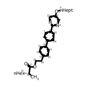 CCCCCCCOc1cnc(-c2ccc(-c3ccc(CCOC(=O)[C@H](C)CCCCCC)cc3)cc2)nc1